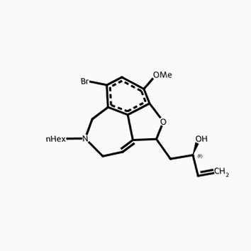 C=C[C@H](O)CC1Oc2c(OC)cc(Br)c3c2C1=CCN(CCCCCC)C3